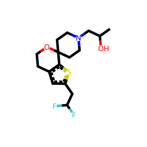 CC(O)CN1CCC2(CC1)OCCc1cc(CC(F)F)sc12